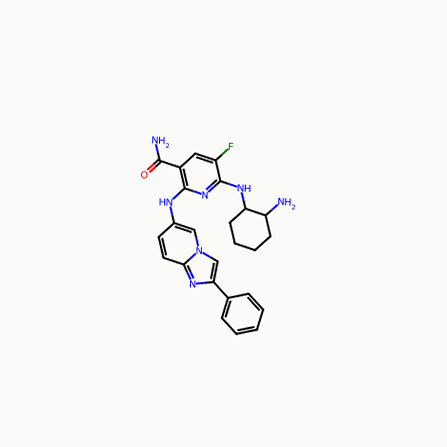 NC(=O)c1cc(F)c(NC2CCCCC2N)nc1Nc1ccc2nc(-c3ccccc3)cn2c1